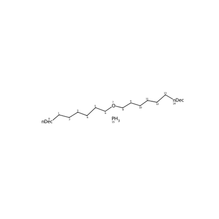 CCCCCCCCCCCCCCCCOCCCCCCCCCCCCCCCC.P